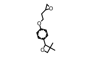 CC1(C)COC1c1ccc(OCCC2CO2)cc1